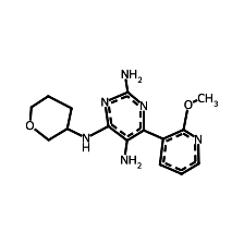 COc1ncccc1-c1nc(N)nc(NC2CCCOC2)c1N